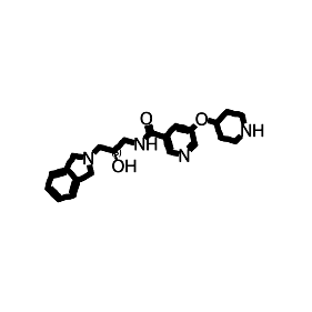 O=C(NC[C@H](O)CN1Cc2ccccc2C1)c1cncc(OC2CCNCC2)c1